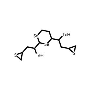 [TeH]C(CC1CS1)C1CC[Se]C(C([TeH])CC2CS2)[Se]1